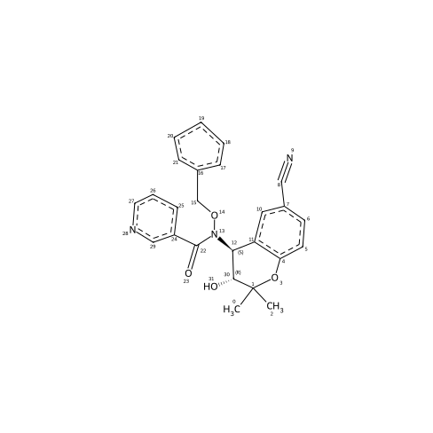 CC1(C)Oc2ccc(C#N)cc2[C@H](N(OCc2ccccc2)C(=O)c2cccnc2)[C@H]1O